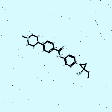 CC[C@@]1(N)C[C@H]1c1ccc(NC(=O)c2ccc(C3CCN(C)CC3)cc2)cc1